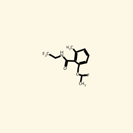 Cc1cccc(OC(C)F)c1C(=O)NCC(F)(F)F